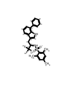 Cc1cc(C)c(S(=O)(=O)NC(Cc2c[nH]c3c(-c4ccccc4)cccc23)C(F)(F)F)c(C)c1